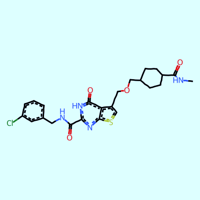 CNC(=O)C1CCC(COCc2csc3nc(C(=O)NCc4cccc(Cl)c4)[nH]c(=O)c23)CC1